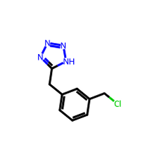 ClCc1cccc(Cc2nnn[nH]2)c1